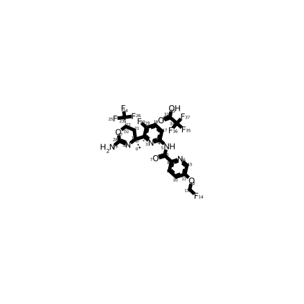 C[C@@]1(c2nc(NC(=O)c3ccc(OCF)cn3)ccc2F)C[C@@H](C(F)(F)F)OC(N)=N1.O=C(O)C(F)(F)F